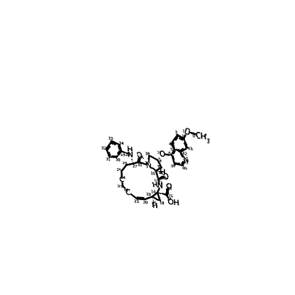 COc1ccc2c(O[C@@H]3C[C@H]4C(=O)N[C@]5(C(=O)O)C[C@H]5/C=C\CCCCC[C@H](Nc5ccccc5)C(=O)N4C3)ccnc2c1